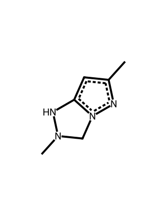 Cc1cc2n(n1)CN(C)N2